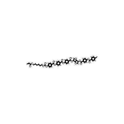 C=CC(=O)OCCCCCCOC(=O)Oc1ccc(C(=O)Oc2ccc(C(=O)Oc3ccc(C(=O)O[C@H]4COC5C4OC[C@H]5OC(=O)c4ccc(OC(=O)c5ccc(C)cc5)cc4)cc3)cc2)cc1